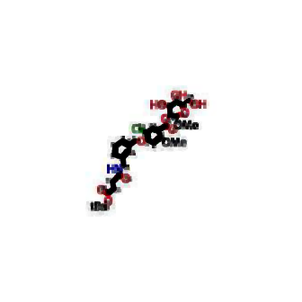 COc1cc(OCc2cccc(CNC(=O)CCC(=O)OC(C)(C)C)c2)c(Cl)cc1C(=O)O[C@H]1[C@@H](OC)O[C@H](CO)[C@@H](O)[C@@H]1O